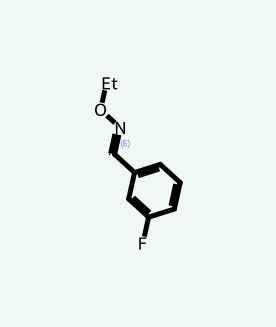 CCO/N=[C]/c1cccc(F)c1